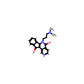 CN(C)CCCn1c2c(c3cnccc3c1=O)C(=O)c1ccccc1-2